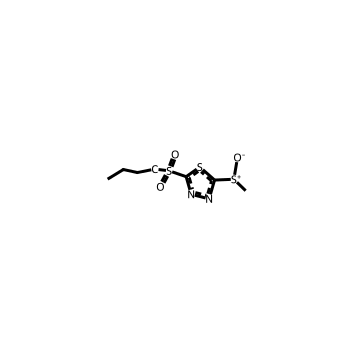 CCCCS(=O)(=O)c1nnc([S+](C)[O-])s1